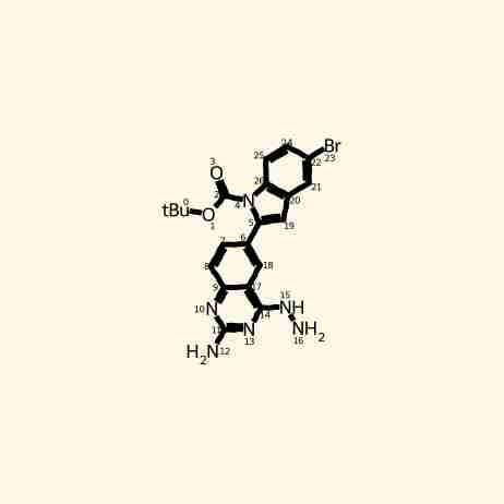 CC(C)(C)OC(=O)n1c(-c2ccc3nc(N)nc(NN)c3c2)cc2cc(Br)ccc21